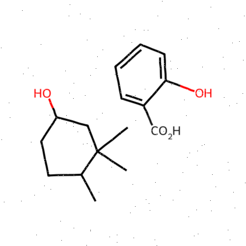 CC1CCC(O)CC1(C)C.O=C(O)c1ccccc1O